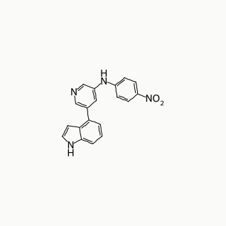 O=[N+]([O-])c1ccc(Nc2cncc(-c3cccc4[nH]ccc34)c2)cc1